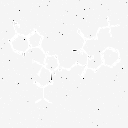 CC(C)C(=O)O[C@@H]1[C@@H](COP(=O)(N[C@@H](C)C(=O)OCC(C)(C)C)Oc2ccccc2)O[C@@H](c2cnc3c(N)ncnn23)[C@]1(C)F